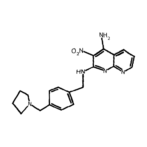 Nc1c([N+](=O)[O-])c(NCc2ccc(CN3CCCC3)cc2)nc2ncccc12